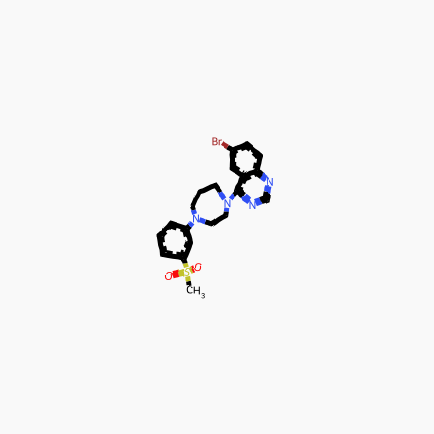 CS(=O)(=O)c1cccc(N2CCCN(c3ncnc4ccc(Br)cc34)CC2)c1